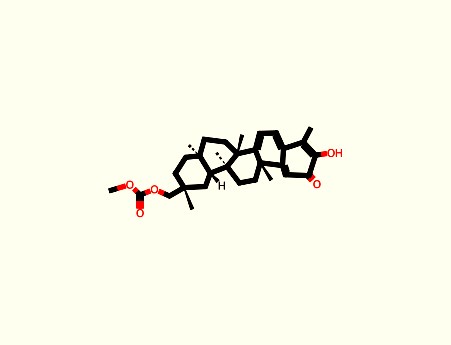 COC(=O)OC[C@]1(C)CC[C@@]2(C)CC[C@]3(C)C4=CC=C5C(=CC(=O)C(O)=C5C)[C@]4(C)CC[C@@]3(C)[C@@H]2C1